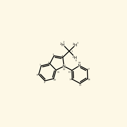 [2H]C([2H])([2H])c1cc2ccccc2n1-c1ccccn1